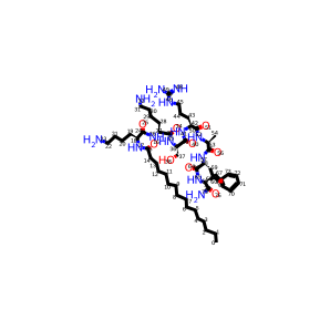 CCCCCCCCCCCCCCCC(=O)N[C@@H](CCCCN)C(=O)N[C@@H](CCCCN)C(=O)N[C@@H](CO)C(=O)N[C@@H](CCCNC(=N)N)C(=O)N[C@@H](C)C(=O)N[C@H](CC(C)C)C(=O)N[C@@H](Cc1ccccc1)C(N)=O